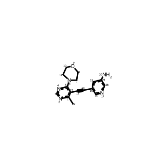 Cc1ncnc(N2CCOCC2)c1C#Cc1cncc(N)c1